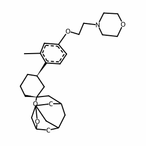 Cc1cc(OCCN2CCOCC2)ccc1[C@@H]1CCC[C@]2(CC3CC4CC(C3)CC(C4)OO2)C1